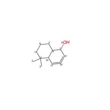 CC1(C)CCCC2C(O)C=C=CC21